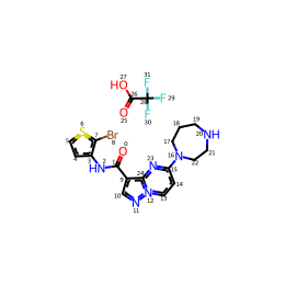 O=C(Nc1ccsc1Br)c1cnn2ccc(N3CCCNCC3)nc12.O=C(O)C(F)(F)F